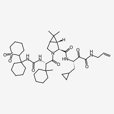 C=CCNC(=O)C(=O)[C@H](CC1CC1)NC(=O)[C@@H]1[C@@H]2C(CN1C(=O)[C@@H](NC(=O)NC1(C3CCCCS3(=O)=O)CCCCC1)C1(C)CCCCC1)C2(C)C